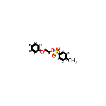 Cc1ccc(S(=O)(=O)OCCOc2ccccc2)cc1